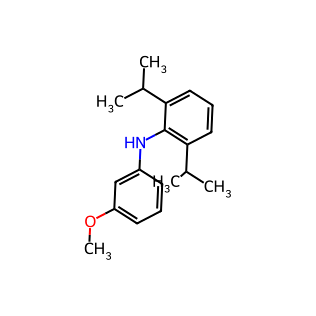 COc1cccc(Nc2c(C(C)C)cccc2C(C)C)c1